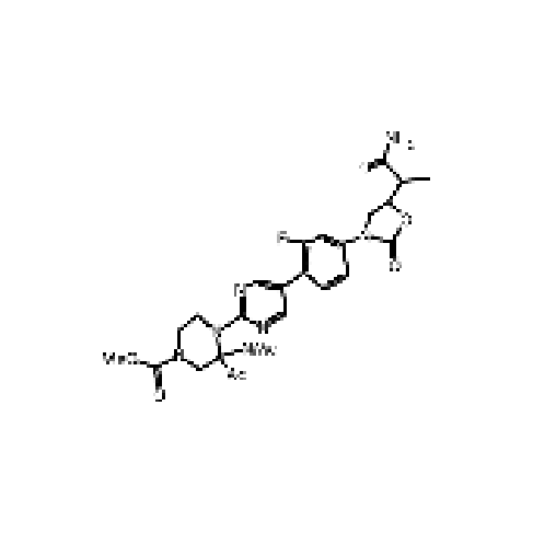 CNC1(C(C)=O)CN(C(=O)OC)CCN1c1ncc(-c2ccc(N3CC(C(C)C(N)=O)OC3=O)cc2F)cn1